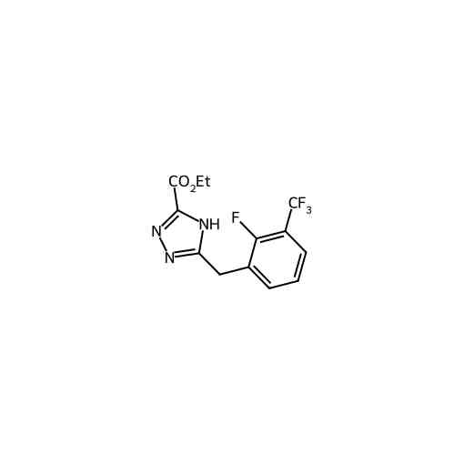 CCOC(=O)c1nnc(Cc2cccc(C(F)(F)F)c2F)[nH]1